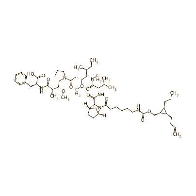 C=CCC[C@@H]1[C@H](CCC)[C@@H]1COC(=O)NCCCCCC(=O)N1[C@@H]2CC[C@@H](C2)[C@H]1C(=O)N[C@H](C(=O)N(C)[C@@H]([C@@H](C)CC)[C@@H](CC(=O)N1CCC[C@H]1[C@H](OC)[C@@H](C)C(=O)N[C@@H](Cc1ccccc1)C(=O)O)OC)C(C)C